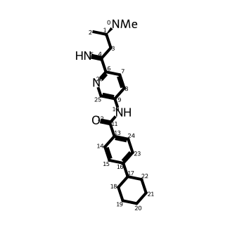 CN[C@H](C)CC(=N)c1ccc(NC(=O)c2ccc(C3CCCCC3)cc2)cn1